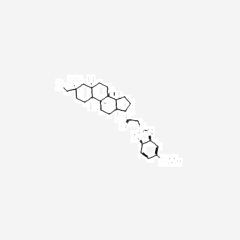 COc1ccc2nn(CC(=O)[C@H]3CC[C@H]4[C@@H]5CC[C@H]6C[C@@](O)(CF)CC[C@@H]6[C@H]5CC[C@]34C)nc2c1